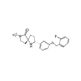 CN1CC[C@]2(CC[C@H](c3cccc(OCc4ccccc4F)c3)N2)C1=O